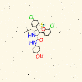 CC(C)(C)C[C@H]1N[C@@H](C(=O)NC2CCC(O)CC2)[C@H](c2cccc(Cl)c2F)[C@@]12C(=O)Sc1cc(Cl)ccc12